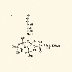 O=P(O)(O)OP(=O)(O)OP(=O)(OP(=O)(O)O)OP(=O)(O)O.[KH].[KH].[KH].[KH].[KH].[KH].[KH].[NaH].[NaH].[NaH].[NaH]